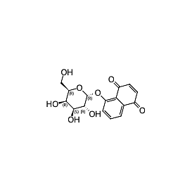 O=C1C=CC(=O)c2c(O[C@H]3O[C@H](CO)[C@H](O)[C@H](O)[C@H]3O)cccc21